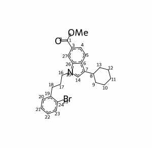 COC(=O)c1ccc2c(C3CCCCC3)cn(CCCc3ccccc3Br)c2c1